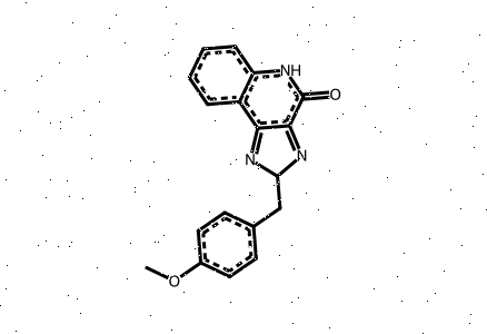 COc1ccc(CC2N=c3c(=O)[nH]c4ccccc4c3=N2)cc1